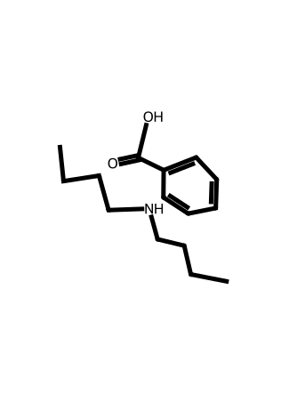 CCCCNCCCC.O=C(O)c1ccccc1